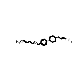 CC=CCCOCc1ccc([C@H]2CC[C@H](CC=CC)CC2)cc1